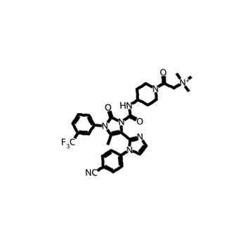 Cc1c(-c2nccn2-c2ccc(C#N)cc2)n(C(=O)NC2CCN(C(=O)C[N+](C)(C)C)CC2)c(=O)n1-c1cccc(C(F)(F)F)c1